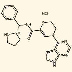 Cl.O=C(NC(c1ccccc1)[C@@H]1CCCN1)C1=CN(c2ncnc3[nH]cnc23)CCS1